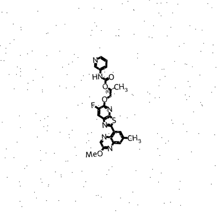 COc1cnc2c(-c3nc4cc(F)c(OC[C@@H](C)OC(=O)Nc5cccnc5)nc4s3)cc(C)cc2n1